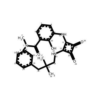 CN(C)C(=O)c1cccc(Nc2c(NCC(C)(C)Cc3ccccc3)c(=O)c2=O)c1O